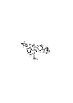 CCS(=O)(=O)c1ccc(-n2cncn2)nc1-c1nc2cc(S(=N)(=O)C(F)(F)F)ccc2n1C